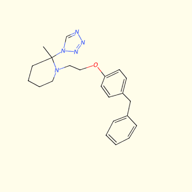 CC1(n2cnnn2)CCCCN1CCOc1ccc(Cc2ccccc2)cc1